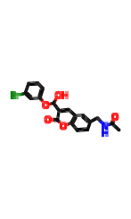 CC(=O)NCc1ccc2oc(=O)c(C(O)Oc3cccc(Br)c3)cc2c1